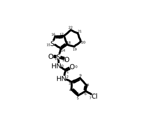 O=C(Nc1ccc(Cl)cc1)NS(=O)(=O)c1scc2c1CCCC2